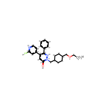 O=C(O)COCC1CCC(Cn2nc(-c3ccccc3)c(-c3ccnc(F)c3)cc2=O)CC1